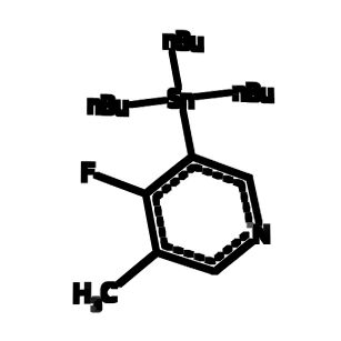 CCC[CH2][Sn]([CH2]CCC)([CH2]CCC)[c]1cncc(C)c1F